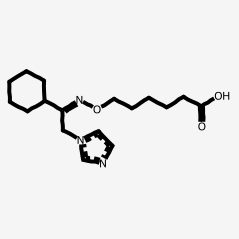 O=C(O)CCCCCON=C(Cn1ccnc1)C1CCCCC1